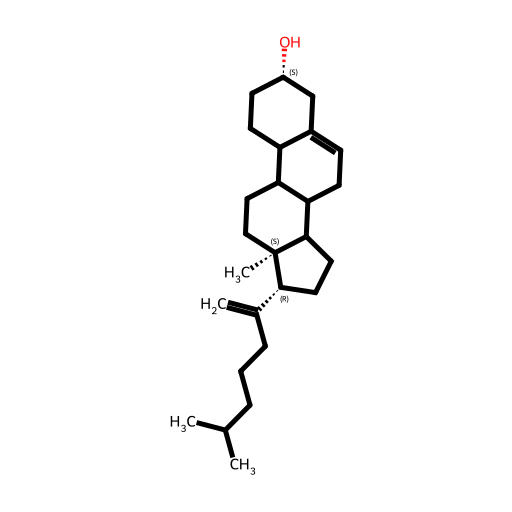 C=C(CCCC(C)C)[C@H]1CCC2C3CC=C4C[C@@H](O)CCC4C3CC[C@@]21C